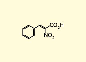 O=C(O)C(=Cc1ccccc1)[N+](=O)[O-]